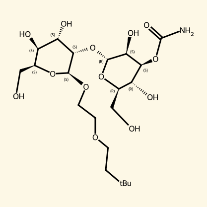 CC(C)(C)CCOCCO[C@H]1O[C@@H](CO)[C@@H](O)[C@H](O)[C@@H]1O[C@H]1O[C@H](CO)[C@@H](O)[C@H](OC(N)=O)[C@@H]1O